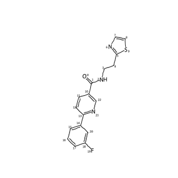 O=C(NCCc1nccs1)c1ccc(-c2cccc(F)c2)nc1